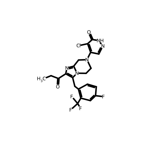 CCC(=O)c1nc2n(c1Cc1ccc(F)cc1C(F)(F)F)CCN(c1cn[nH]c(=O)c1Cl)C2